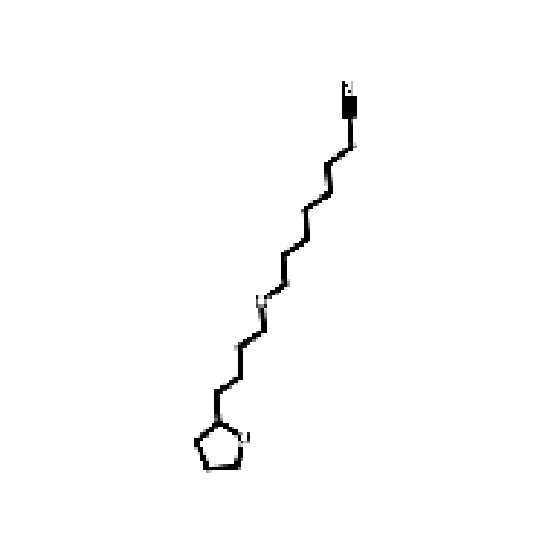 N#CCCCCCCCOCCCCC1CCCO1